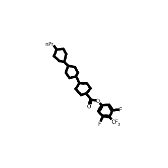 CCCC1CCC(C2CCC(C3CCC(C(=O)Oc4cc(F)c(C(F)(F)F)c(F)c4)CC3)CC2)CC1